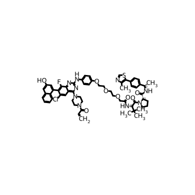 C=CC(=O)N1CCN(c2nc(Nc3ccc(OCCOCCOCC(=O)N[C@H](C(=O)N4CCC[C@H]4C(=O)N[C@@H](C)c4ccc(-c5scnc5C)cc4)C(C)(C)C)cc3)nc3c(F)c(-c4cc(O)cc5ccccc45)c(Cl)cc23)CC1